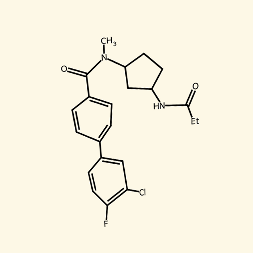 CCC(=O)NC1CCC(N(C)C(=O)c2ccc(-c3ccc(F)c(Cl)c3)cc2)C1